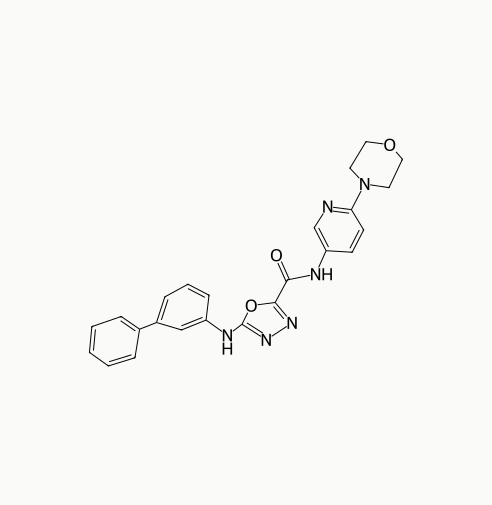 O=C(Nc1ccc(N2CCOCC2)nc1)c1nnc(Nc2cccc(-c3ccccc3)c2)o1